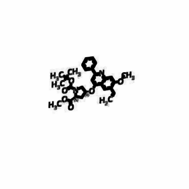 C=Cc1cc2c(O[C@@H]3C[C@@H](C(=O)OC)N(C(=O)OC(C)(C)C)C3)cc(-c3ccccc3)nc2cc1OC